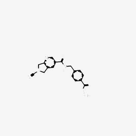 COC(=O)c1ccc(CNC(=O)c2cnc3c(c2)CB(C#N)C3)cc1